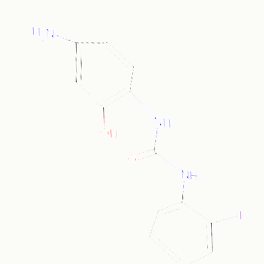 Nc1ccc(NC(=O)Nc2ccccc2I)c(O)c1